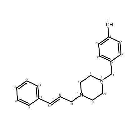 Oc1ccc(CN2CCN(C/C=C/c3ccccc3)CC2)cc1